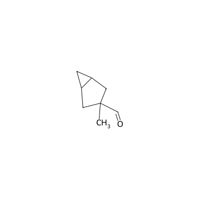 CC1(C=O)CC2CC2C1